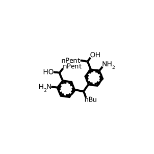 CCCCCC(O)c1cc(C(CCCC)c2ccc(N)c(C(O)CCCCC)c2)ccc1N